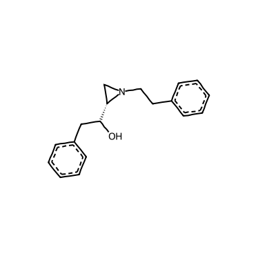 OC(Cc1ccccc1)[C@@H]1CN1CCc1ccccc1